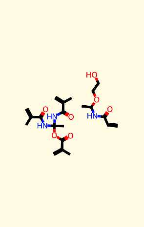 C=C(C)C(=O)NC(C)(NC(=O)C(=C)C)OC(=O)C(=C)C.C=CC(=O)NC(C)OCCO